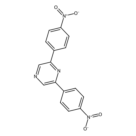 O=[N+]([O-])c1ccc(-c2cncc(-c3ccc([N+](=O)[O-])cc3)n2)cc1